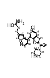 NC(O)CCc1cc2nccc(-c3cc(Cl)cc4c3O[C@@H](C(=O)N3CCNCC3)C4)c2s1